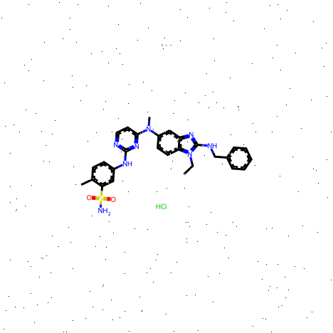 CCn1c(NCc2ccccc2)nc2cc(N(C)c3ccnc(Nc4ccc(C)c(S(N)(=O)=O)c4)n3)ccc21.Cl